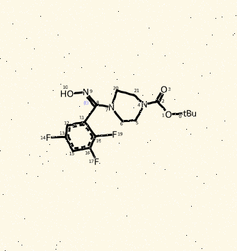 CC(C)(C)OC(=O)N1CCN(/C(=N/O)c2cc(F)cc(F)c2F)CC1